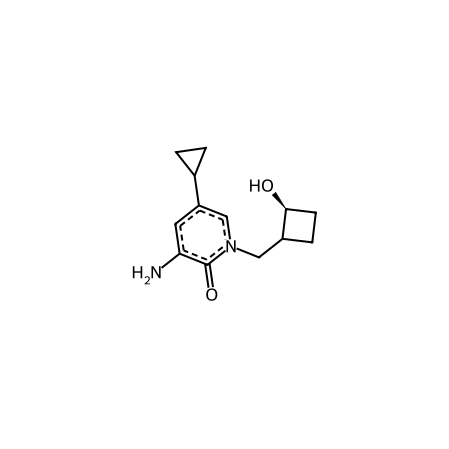 Nc1cc(C2CC2)cn(CC2CC[C@@H]2O)c1=O